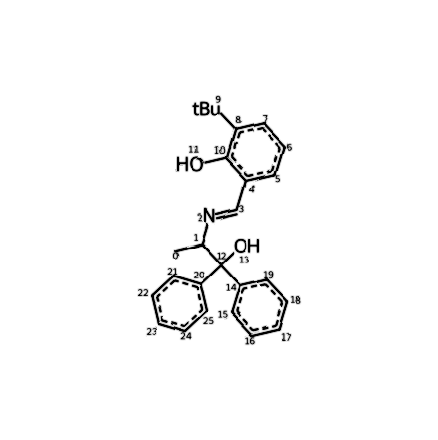 CC(N=Cc1cccc(C(C)(C)C)c1O)C(O)(c1ccccc1)c1ccccc1